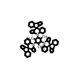 Cc1c(N2c3ccccc3C3(c4ccccc4-c4ccccc43)c3ccccc32)c(C)c(N2c3ccccc3C3(c4ccccc4-c4ccccc43)c3ccccc32)c(C)c1N1c2ccccc2C2(c3ccccc3-c3ccccc32)c2ccccc21